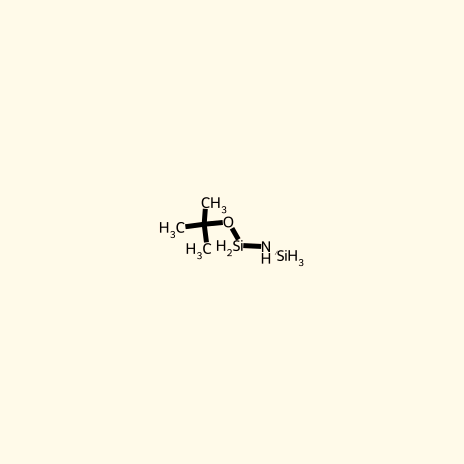 CC(C)(C)O[SiH2]N[SiH3]